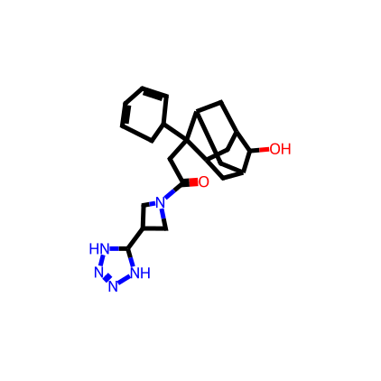 O=C(CC1(C2C=CC=CC2)C2CC3CC1CC(C2)C3O)N1CC(C2NN=NN2)C1